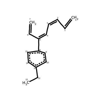 C=C/C=C\C=C(/C=C)c1ccc(CC)cc1